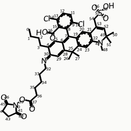 CCCCC1=CC2=C(c3c(Cl)ccc(Cl)c3C(=O)O)c3cc4c(cc3C(C)(C)C2=C/C1=N\CCCCCC(=O)ON1C(=O)CCC1=O)N(C)C(C)(C)C=C4CS(=O)(=O)O